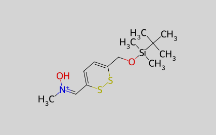 C[N+](O)=CC1=CC=C(CO[Si](C)(C)C(C)(C)C)SS1